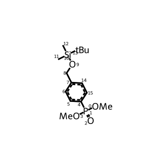 COP(=O)(OC)c1ccc(CO[Si](C)(C)C(C)(C)C)cc1